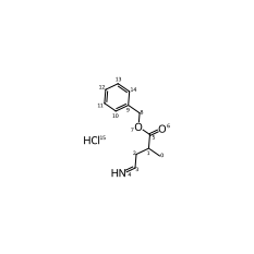 CC(CC=N)C(=O)OCc1ccccc1.Cl